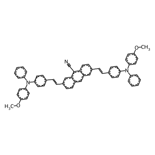 COc1ccc(N(c2ccccc2)c2ccc(C=Cc3ccc4c(C#N)c5cc(C=Cc6ccc(N(c7ccccc7)c7ccc(OC)cc7)cc6)ccc5cc4c3)cc2)cc1